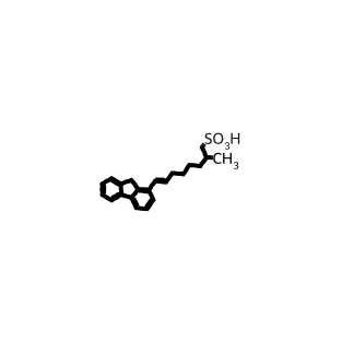 CC(CCCCC=Cc1cccc2c1Cc1ccccc1-2)CS(=O)(=O)O